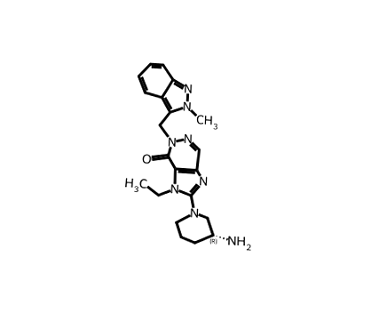 CCn1c(N2CCC[C@@H](N)C2)nc2cnn(Cc3c4ccccc4nn3C)c(=O)c21